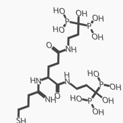 N=C(CCCS)NC(CCC(=O)NCCC(O)(P(O)O)P(O)O)C(=O)NCCC(O)(P(O)O)P(O)O